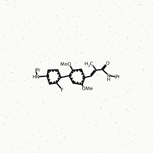 COc1cc(-c2ccc(NC(C)C)cc2F)c(OC)cc1/C=C(\C)C(=O)NC(C)C